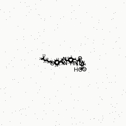 CN[C@@H](Cc1ccc(-c2ncc(-c3ccc(OCCCCC(C)C)cc3)cn2)cc1)C(=O)N1CC[C@H](C(=O)O)C1